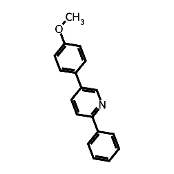 COc1ccc(-c2ccc(-c3ccccc3)nc2)cc1